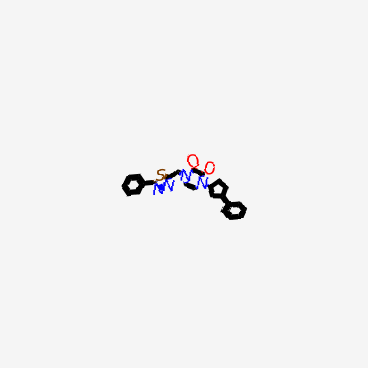 O=C1C(=O)N([C@H]2CCC(c3ccccc3)C2)CCN1Cc1nnc(-c2ccccc2)s1